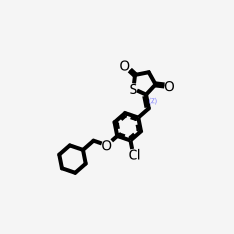 O=C1CC(=O)/C(=C/c2ccc(OCC3CCCCC3)c(Cl)c2)S1